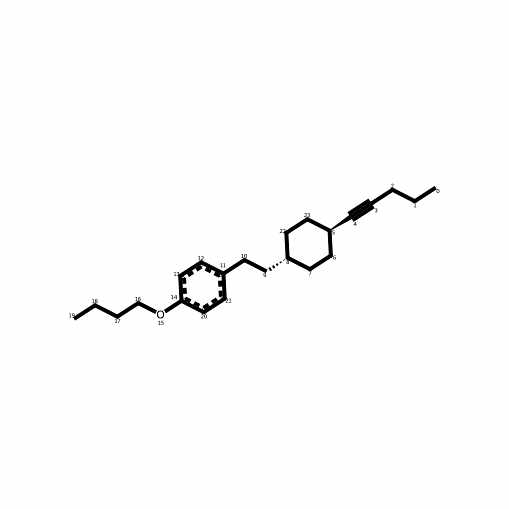 CCCC#C[C@H]1CC[C@H](CCc2ccc(OCCCC)cc2)CC1